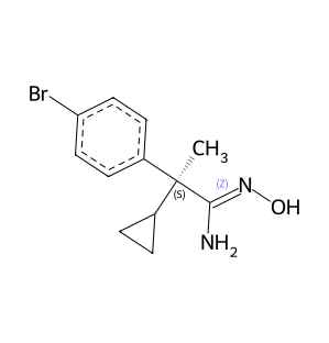 C[C@@](/C(N)=N/O)(c1ccc(Br)cc1)C1CC1